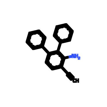 C#Cc1ccc(-c2ccccc2)c(-c2ccccc2)c1N